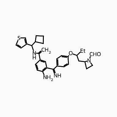 C=C(NC(c1ccsc1)C1CCC1)c1ccc(N)c(C(=N)c2ccc(OC(CC)CC3CCN3C=O)cc2)c1